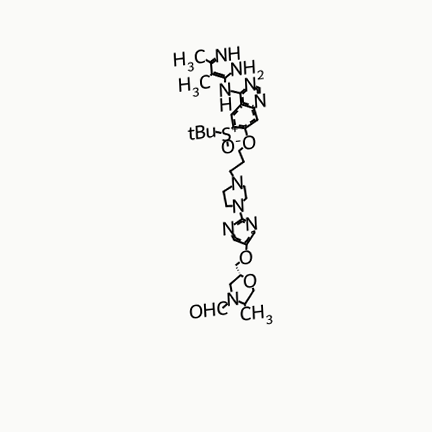 CC(=N)/C(C)=C(\N)Nc1ncnc2cc(OCCCN3CCN(c4ncc(OC[C@H]5CN(C=O)C(C)CO5)cn4)CC3)c([S+]([O-])C(C)(C)C)cc12